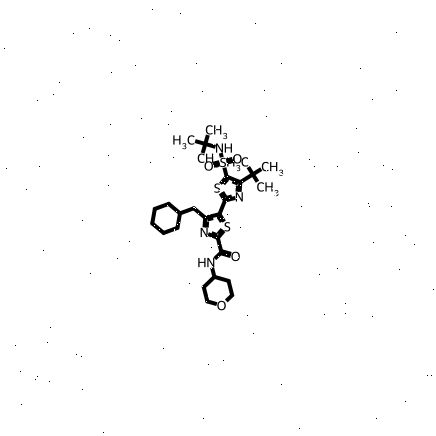 CC(C)(C)NS(=O)(=O)c1sc(-c2sc(C(=O)NC3CCOCC3)nc2CC2CCCCC2)nc1C(C)(C)C